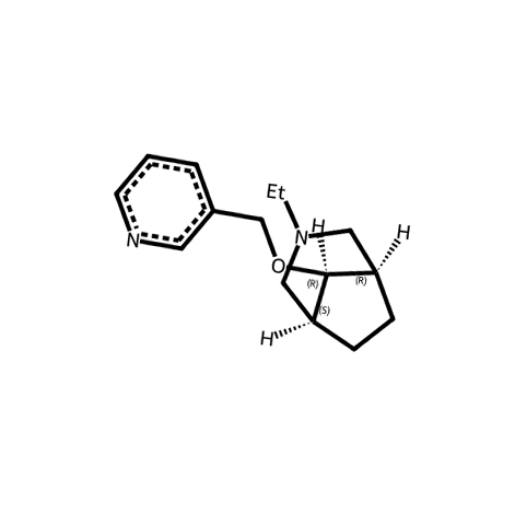 CCN1C[C@H]2CC[C@@H](C1)[C@H]2OCc1cccnc1